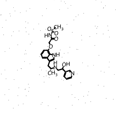 C[C@H](Cc1c[nH]c2c(OCC(=O)NS(C)(=O)=O)cccc12)NCC(O)c1cccnc1